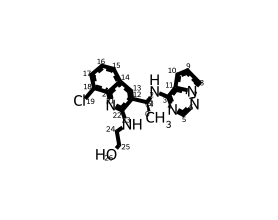 C[C@H](Nc1ncnn2cccc12)c1cc2cccc(Cl)c2nc1NCCO